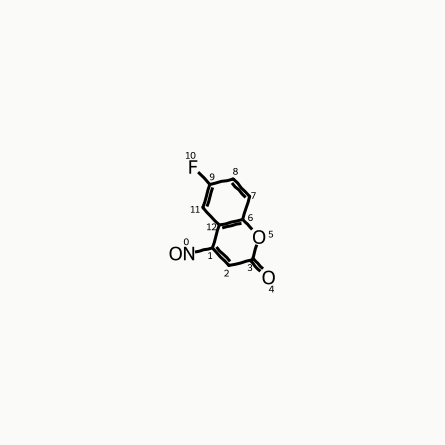 O=Nc1cc(=O)oc2ccc(F)cc12